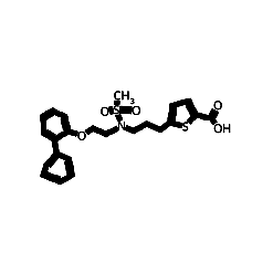 CS(=O)(=O)N(CCCc1ccc(C(=O)O)s1)CCOc1ccccc1-c1ccccc1